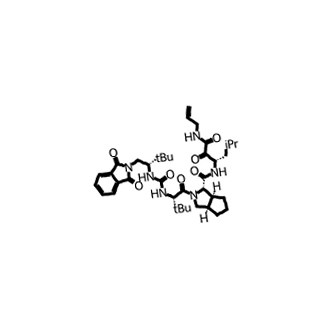 C=CCNC(=O)C(=O)[C@H](CC(C)C)NC(=O)[C@@H]1[C@H]2CCC[C@H]2CN1C(=O)[C@@H](NC(=O)N[C@H](CN1C(=O)c2ccccc2C1=O)C(C)(C)C)C(C)(C)C